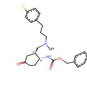 CCCN(CCCc1ccc(F)cc1)C[C@@H]1CC(=O)CC[C@H]1NC(=O)OCc1ccccc1